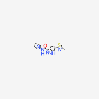 Cc1csc(-c2ccc3c(C(=O)NC4CC5CCC(C4)N5C)n[nH]c3c2)n1